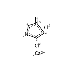 [Ca+2].[Cl-].[Cl-].c1c[nH]cn1